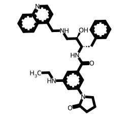 CCNc1cc(C(=O)N[C@@H](Cc2ccccc2)[C@H](O)CNCc2ccnc3ccccc23)cc(N2CCCC2=O)c1